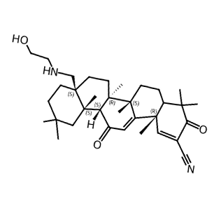 CC1(C)CC[C@]2(CNCCO)CC[C@]3(C)[C@H](C(=O)C=C4[C@@]5(C)C=C(C#N)C(=O)C(C)(C)C5CC[C@]43C)[C@]2(C)C1